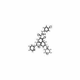 O=C(NCc1ccc(Cl)cc1)c1cn2c3c(cc(CN4CCOCC4)cc3c1=O)OC(c1ccccn1)C2